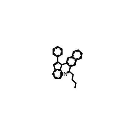 CCCCC(=N)c1cc2ccccc2cc1C1C(c2ccccc2)=Cc2ccccc21